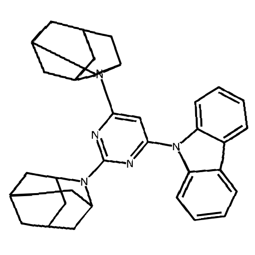 c1ccc2c(c1)c1ccccc1n2-c1cc(N2C3CC4CC(C3)CC2C4)nc(N2C3CC4CC(C3)CC2C4)n1